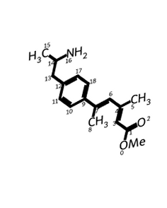 COC(=O)C=C(C)C=C(C)c1ccc(CC(C)N)cc1